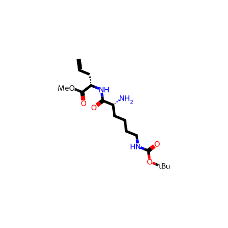 C=CC[C@H](NC(=O)[C@H](N)CCCCNC(=O)OC(C)(C)C)C(=O)OC